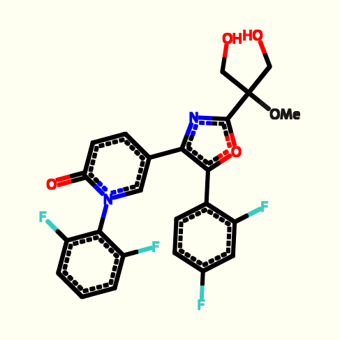 COC(CO)(CO)c1nc(-c2ccc(=O)n(-c3c(F)cccc3F)c2)c(-c2ccc(F)cc2F)o1